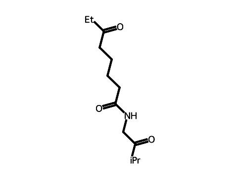 CCC(=O)CCCCC(=O)NCC(=O)C(C)C